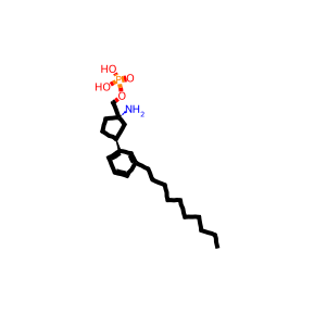 CCCCCCCCCCc1cccc([C@H]2CC[C@@](N)(COP(=O)(O)O)C2)c1